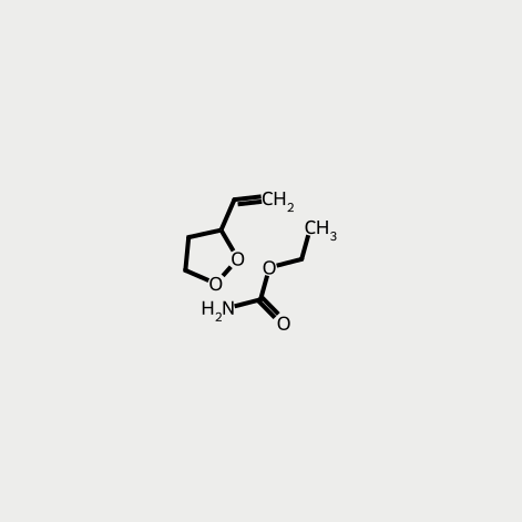 C=CC1CCOO1.CCOC(N)=O